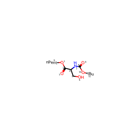 CCCCCOC(=O)C(CO)NC(=O)OC(C)(C)C